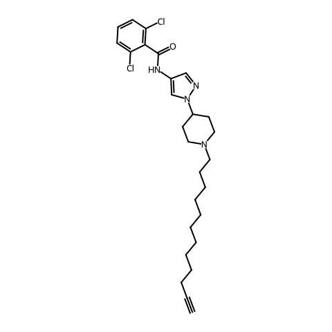 C#CCCCCCCCCCCN1CCC(n2cc(NC(=O)c3c(Cl)cccc3Cl)cn2)CC1